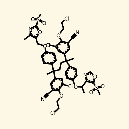 Cc1nc(S(C)(=O)=O)oc1COc1ccc(C(C)(CCC(C)(c2ccc(OC(C)c3ncoc3S(C)(=O)=O)cc2)c2cc(Cl)c(OCCCl)c(C#N)c2)c2cc(Cl)c(OCCCl)c(C#N)c2)cc1